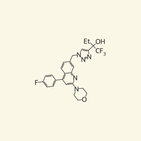 CCC(O)(c1cn(Cc2ccc3c(-c4ccc(F)cc4)cc(N4CCOCC4)nc3c2)nn1)C(F)(F)F